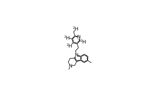 [2H]Cc1nc([2H])c(CCn2c3c(c4cc(C)ccc42)CN(C)CC3)c([2H])c1[2H]